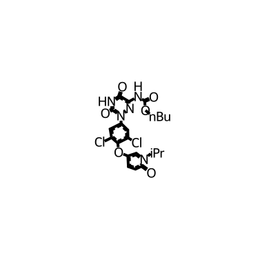 CCCCOC(=O)Nc1nn(-c2cc(Cl)c(Oc3ccc(=O)n(C(C)C)c3)c(Cl)c2)c(=O)[nH]c1=O